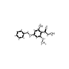 COc1cc(OCc2ccccc2)cc(O)c1C(=O)CO